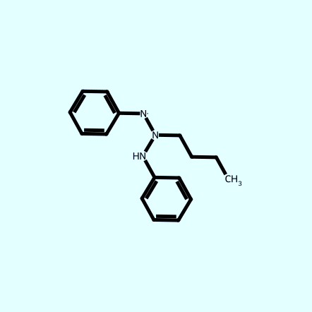 CCCCN([N]c1ccccc1)Nc1ccccc1